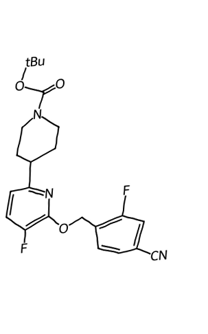 CC(C)(C)OC(=O)N1CCC(c2ccc(F)c(OCc3ccc(C#N)cc3F)n2)CC1